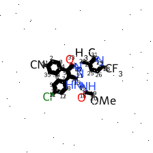 [C-]#[N+]c1ccc(-c2c(-c3ccc(Cl)cc3)c(NNC(=O)COC)nn(Cc3ccc(C(F)(F)F)nc3C)c2=O)cc1